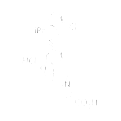 CC(CN1CCC2(CC1)COc1cc(SCc3c(Cl)cccc3C(C)C)ccc12)C(=O)O.Cl